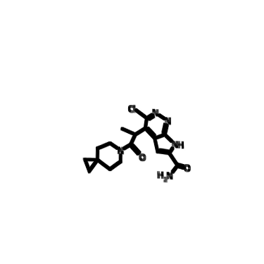 CC(C(=O)N1CCC2(CC1)CC2)c1c(Cl)nnc2[nH]c(C(N)=O)cc12